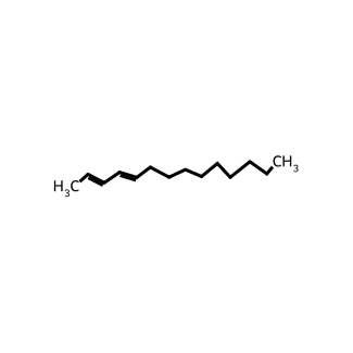 C/C=C/C=C/CCCCCCCCC